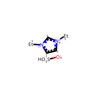 CCn1cc[n+](CC)c1.O=S(=O)([O-])O